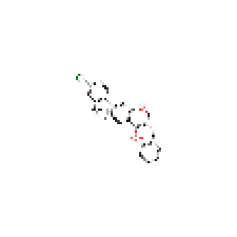 O=C(O)c1cc(Cl)ccc1-c1ccc2c(c1)OCC(Cc1ccccc1)=C2O